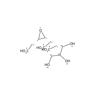 C1CO1.CC(=O)O.CC(=O)O.CC(=O)O.OCC(O)CO